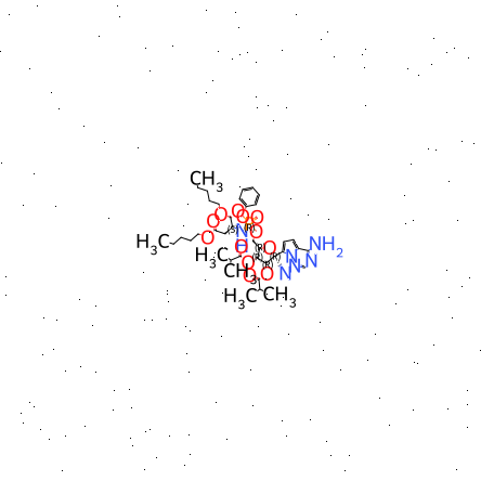 CCCCCOC(=O)C[C@H](N[P@@](=O)(OC[C@H]1O[C@@](C#N)(c2ccc3c(N)ncnn23)[C@H](OC(=O)C(C)C)[C@@H]1OC(=O)C(C)C)Oc1ccccc1)C(=O)OCCCCC